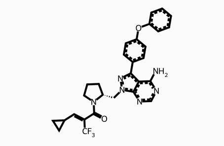 Nc1ncnc2c1c(-c1ccc(Oc3ccccc3)cc1)nn2C[C@H]1CCCN1C(=O)C(=CC1CC1)C(F)(F)F